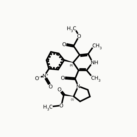 COC(=O)C1=C(C)NC(C)=C(C(=O)N2CCC[C@H]2C(=O)OC)[C@H]1c1cccc([N+](=O)[O-])c1